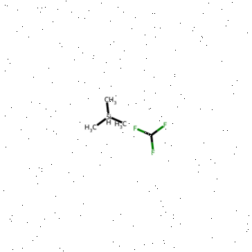 C[SiH](C)C.FC(F)F